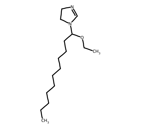 CCCCCCCCCCC(OCC)N1C=NCC1